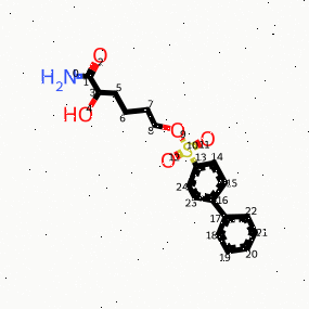 NC(=O)C(O)CCCCOS(=O)(=O)c1ccc(-c2ccccc2)cc1